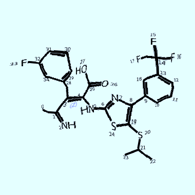 CC(=N)/C(=C(\Nc1nc(-c2cccc(C(F)(F)F)c2)c(SC(C)C)s1)C(=O)O)c1cccc(F)c1